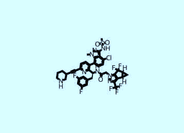 Cn1nc(NS(C)(=O)=O)c2c(Cl)ccc(-c3ccc(C#CC4CCCNC4)nc3[C@H](Cc3cc(F)cc(F)c3)NC(=O)Cn3nc(C(F)(F)F)c4c3C(F)(F)[C@@H]3C[C@H]43)c21